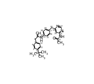 C=C(Cc1ccc(C(C)(C)C)cc1)Nc1ccc(Cc2cc(NC(C)=O)ncn2)cc1